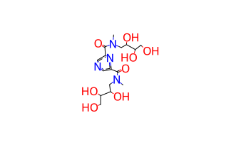 CN(CC(O)C(O)CO)C(=O)c1cncc(C(=O)N(C)CC(O)C(O)CO)n1